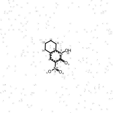 O=c1c([N+](=O)[O-])cc2c(n1O)CCCC2